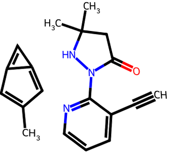 C#Cc1cccnc1N1NC(C)(C)CC1=O.Cc1cc2cc-2c1